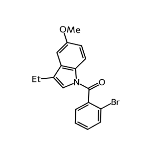 [CH2]Cc1cn(C(=O)c2ccccc2Br)c2ccc(OC)cc12